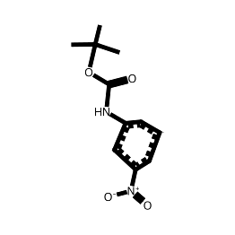 CC(C)(C)OC(=O)Nc1c[c]cc([N+](=O)[O-])c1